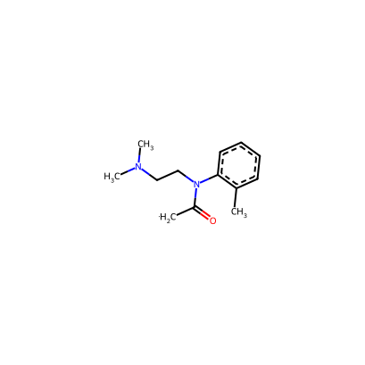 [CH2]C(=O)N(CCN(C)C)c1ccccc1C